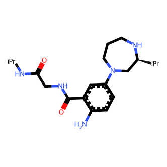 CC(C)NC(=O)CNC(=O)c1cc(N2CCCN[C@@H](C(C)C)C2)ccc1N